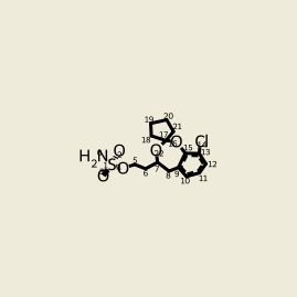 NS(=O)(=O)OCCC1Cc2cccc(Cl)c2OC2(CCCC2)O1